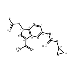 CC(=O)Cn1nc(C(N)=O)c2cc(NC(=O)CC3CC3)ccc21